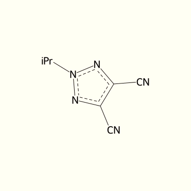 CC(C)n1nc(C#N)c(C#N)n1